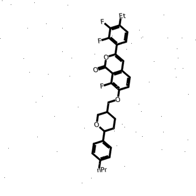 CCCc1ccc(C2CCC(COc3ccc4cc(-c5ccc(CC)c(F)c5F)oc(=O)c4c3F)CO2)cc1